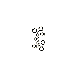 CC(C)(C)[Si](OCC(=O)CO[Si](c1ccccc1)(c1ccccc1)C(C)(C)C)(c1ccccc1)c1ccccc1